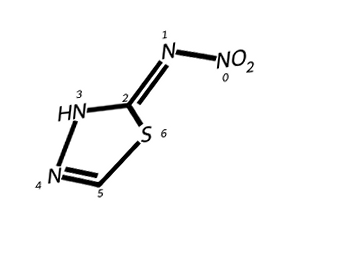 O=[N+]([O-])N=c1[nH]ncs1